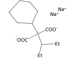 CCC(CC)C(C(=O)[O-])(C(=O)[O-])C1CCCCC1.[Na+].[Na+]